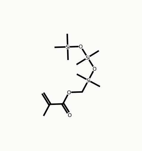 C=C(C)C(=O)OC[Si](C)(C)O[Si](C)(C)O[Si](C)(C)C